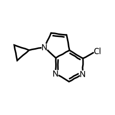 Clc1ncnc2c1ccn2C1CC1